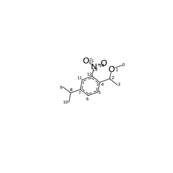 COC(C)c1ccc(C(C)C)cc1[N+](=O)[O-]